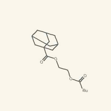 CCC(C)C(=O)OCCOC(=O)C12CC3CC(CC(C3)C1)C2